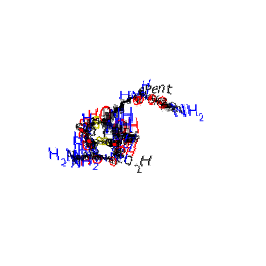 CCCCCC(NC(=O)CCCCCN[C@@H](O)[C@@H]1CSCC(=O)N[C@@H](CC(=O)O)C(=O)N[C@H]2CSSC[C@H](N[C@H](O)[C@H](CC(=O)O)NC(=O)CN[C@H](O)[C@H](CCCNC(N)N)NC2=O)[C@H](O)N[C@@H](Cc2ccccc2)[C@@H](O)N1)C(=O)NCCOCCOCCN